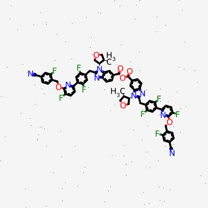 C[C@H]1COC[C@H]1n1c(Cc2cc(F)c(-c3ccc(F)c(OCc4ccc(C#N)cc4F)n3)cc2F)nc2ccc(C(=O)OC(=O)c3ccc4nc(Cc5cc(F)c(-c6ccc(F)c(OCc7ccc(C#N)cc7F)n6)cc5F)n([C@@H]5COC[C@@H]5C)c4c3)cc21